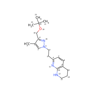 Cc1cn(CCc2ccc3c(n2)NCCC3)nc1COC(C)(C)C